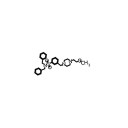 COCCN1CCN(Cc2cccc(S(=O)(=O)N(Cc3ccccc3)Cc3ccccc3)c2)CC1